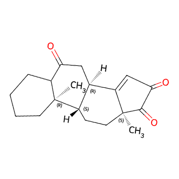 C[C@]12CC[C@H]3[C@@H](CC(=O)C4CCCC[C@@]43C)C1=CC(=O)C2=O